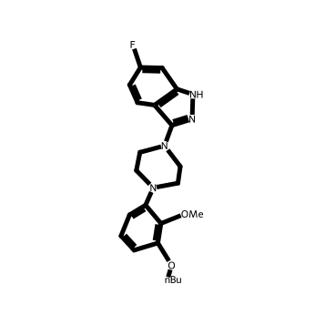 CCCCOc1[c]ccc(N2CCN(c3n[nH]c4cc(F)ccc34)CC2)c1OC